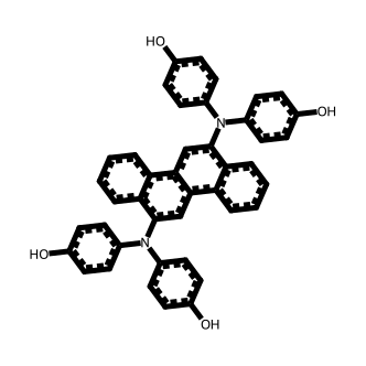 Oc1ccc(N(c2ccc(O)cc2)c2cc3c4ccccc4c(N(c4ccc(O)cc4)c4ccc(O)cc4)cc3c3ccccc23)cc1